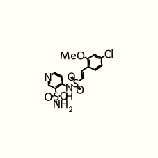 COc1cc(Cl)ccc1/C=C/S(=O)(=O)Nc1ccncc1S(N)(=O)=O